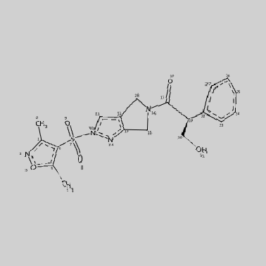 Cc1noc(C)c1S(=O)(=O)n1cc2c(n1)CN(C(=O)[C@H](CO)c1ccccc1)C2